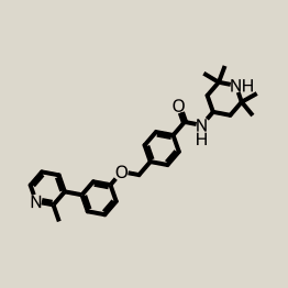 Cc1ncccc1-c1cccc(OCc2ccc(C(=O)NC3CC(C)(C)NC(C)(C)C3)cc2)c1